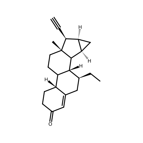 C#C[C@H]1[C@H]2C[C@H]2C2[C@H]3C(CC[C@@]21C)[C@H]1CCC(=O)C=C1C[C@@H]3CC